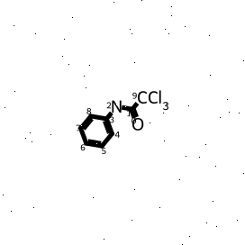 O=C([N]c1ccccc1)C(Cl)(Cl)Cl